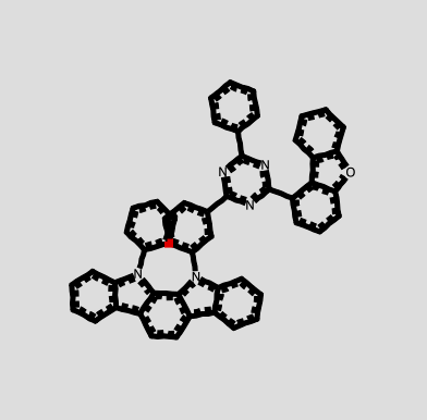 c1ccc(-c2nc(-c3cccc(-n4c5ccccc5c5ccc6c7ccccc7n(-c7ccccc7)c6c54)c3)nc(-c3cccc4oc5ccccc5c34)n2)cc1